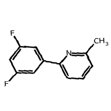 Cc1cccc(-c2cc(F)cc(F)c2)n1